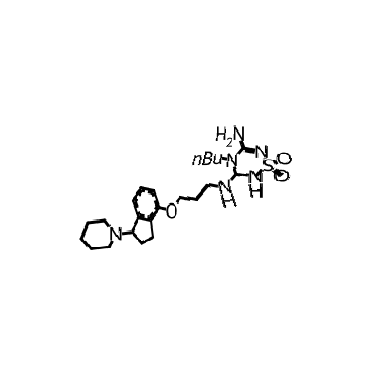 CCCCN1C(N)=NS(=O)(=O)NC1NCCCOc1cccc2c1CCC2N1CCCCC1